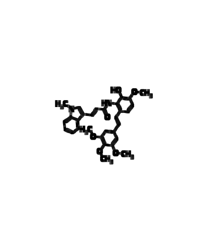 COc1ccc(/C=C/c2cc(OC)c(OC)c(OC)c2)c(NC(=O)/C=C/c2cn(C)c3ccccc23)c1O